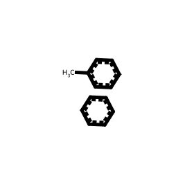 Cc1cc[c]cc1.[c]1ccccc1